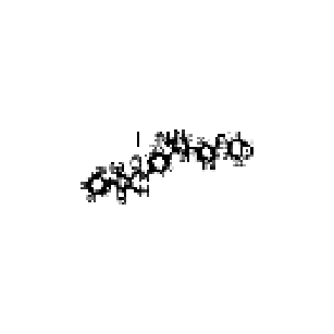 Cc1c(C(=O)Nc2ccc(-c3nc(-c4cncc(OC5CCOCC5)c4)cnc3N)cc2)c(=O)n(-c2ccccc2)n1C